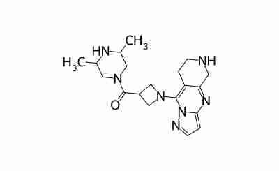 CC1CN(C(=O)C2CN(c3c4c(nc5ccnn35)CNCC4)C2)CC(C)N1